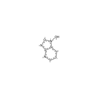 O[n+]1onc2ncccc21